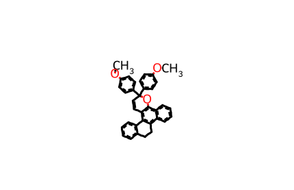 COc1ccc(C2(c3ccc(OC)cc3)C=Cc3c4c(c5ccccc5c3O2)CCc2ccccc2-4)cc1